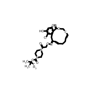 CC(C)(C)OC(=O)N1CCN(C(=O)CO/N=C2/C=C/CC/C=C/CCOC(=O)c3c(O)cc(O)c(Cl)c3C2)CC1